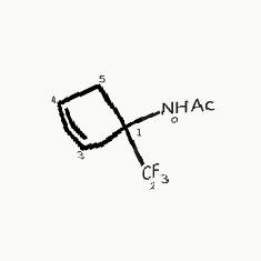 CC(=O)NC1(C(F)(F)F)C=CC1